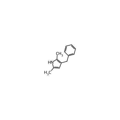 Cc1cc(Cc2ccccc2)c(C)[nH]1